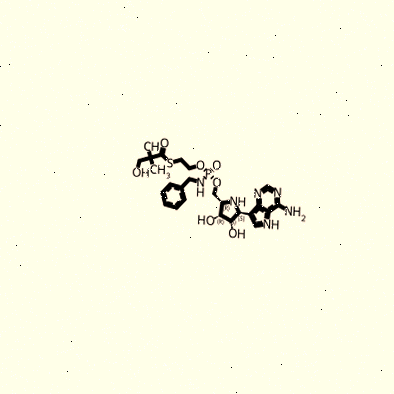 CC(C)(CO)C(=O)SCCOP(=O)(NCc1ccccc1)OC[C@H]1N[C@@H](c2c[nH]c3c(N)ncnc23)[C@H](O)[C@@H]1O